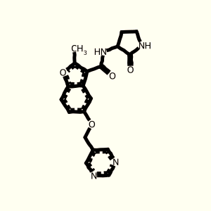 Cc1oc2ccc(OCc3cncnc3)cc2c1C(=O)NC1CCNC1=O